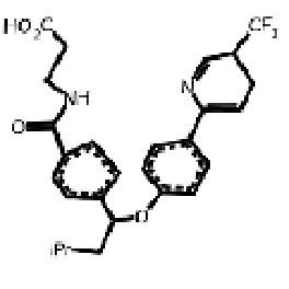 CC(C)CC(Oc1ccc(C2=CCC(C(F)(F)F)C=N2)cc1)c1ccc(C(=O)NCCC(=O)O)cc1